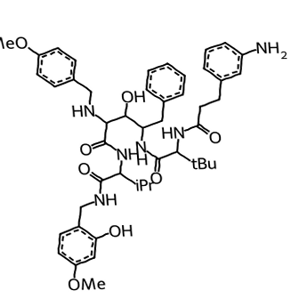 COc1ccc(CNC(C(=O)NC(C(=O)NCc2ccc(OC)cc2O)C(C)C)C(O)C(Cc2ccccc2)NC(=O)C(NC(=O)CCc2cccc(N)c2)C(C)(C)C)cc1